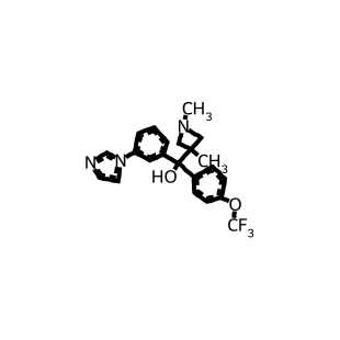 CN1CC(C)(C(O)(c2ccc(OC(F)(F)F)cc2)c2cccc(-n3ccnc3)c2)C1